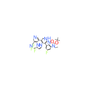 CCN(C(=O)OC(C)(C)C)c1cc(F)cc2c1[nH]c1ncc(-c3cncc(C#N)c3)c(-n3ccc(C(F)(F)F)n3)c12